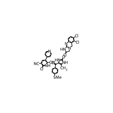 CSc1ccc(C(=O)c2[nH]c(=O)[nH]c2C)cc1.Cc1[nH]c(=O)c(C#N)cc1-c1ccncc1.O=C1CN2Cc3c(ccc(Cl)c3Cl)N=C2N1